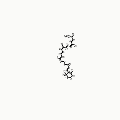 CC(C=CC=C(C)C=CC1=C(C)CCCC1(C)C)=CC=CC=C(C)C=CC=C(C)C=CC(C)O